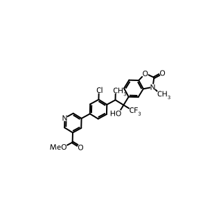 COC(=O)c1cncc(-c2ccc(C(C)C(O)(c3ccc4oc(=O)n(C)c4c3)C(F)(F)F)c(Cl)c2)c1